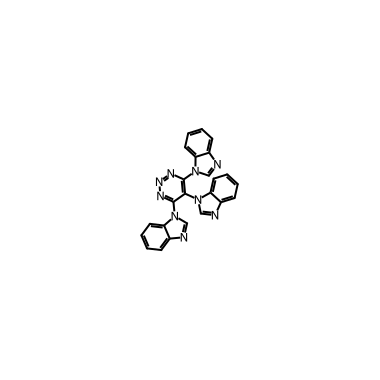 c1ccc2c(c1)ncn2-c1nnnc(-n2cnc3ccccc32)c1-n1cnc2ccccc21